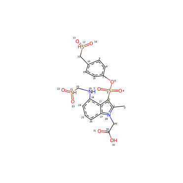 Cc1c(S(=O)(=O)Oc2ccc(C[SH](=O)=O)cc2)c2c(NC[SH](=O)=O)cccc2n1CC(=O)O